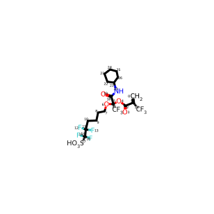 C=C(C(=O)OC(OCCCCC(F)(F)C(F)(F)S(=O)(=O)O)(C(=O)NC1CCCCC1)C(F)(F)F)C(F)(F)F